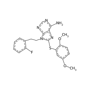 COc1ccc(OC)c(Sc2nc3c(N)ncnc3n2CCc2ccccc2F)c1